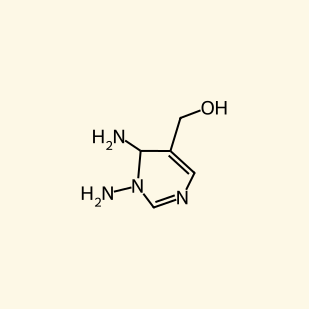 NC1C(CO)=CN=CN1N